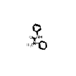 CN(C(=O)Nc1ccccc1)C1=CCCCC1